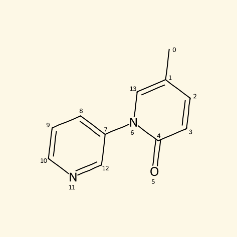 Cc1ccc(=O)n(-c2cccnc2)c1